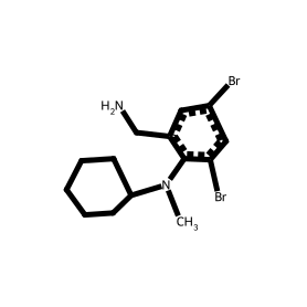 CN(c1c(Br)cc(Br)cc1CN)C1CCCCC1